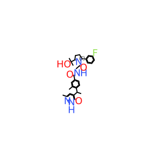 Cc1cc(C(C)c2ccc(C(=O)NCC(=O)N3C(C(C)(C)O)CC[C@H]3c3cccc(F)c3)cc2C)c(=O)[nH]n1